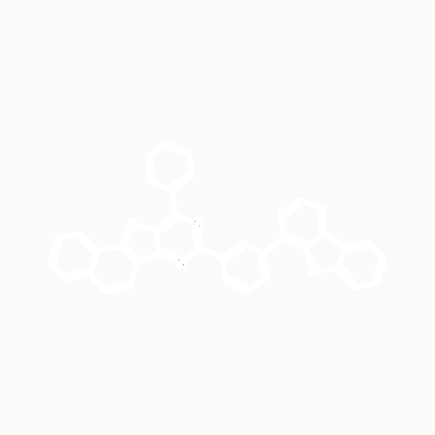 c1ccc(-c2nc(-c3cccc(-c4cccc5c4oc4ccccc45)c3)nc3c2sc2c4ccccc4ccc32)cc1